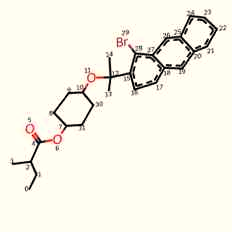 CCC(C)C(=O)OC1CCC(OC(C)(C)c2ccc3cc4ccccc4cc3c2Br)CC1